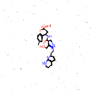 Cc1cccc(C(CC(=O)O)NC(=O)c2cnn(CCc3ccc4c(n3)NCCC4)c2CO)c1